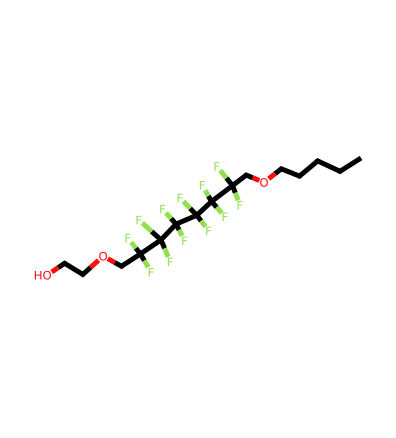 CCCCCOCC(F)(F)C(F)(F)C(F)(F)C(F)(F)C(F)(F)C(F)(F)COCCO